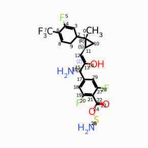 C[C@@]1(C2C=C(F)C(C(F)(F)F)=CC2)C[C@H]1/C=C(\O)[C@@H](N)c1cc(F)c(C(=O)OSN)c(F)c1